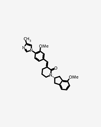 COc1cc(/C=C2\CCCN([C@H]3Cc4cccc(OC)c4C3)C2=O)ccc1-n1cnc(C)c1